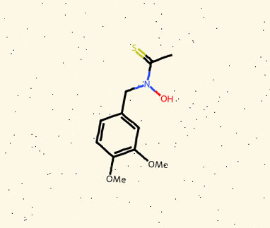 COc1ccc(CN(O)C(C)=S)cc1OC